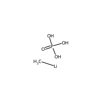 O=P(O)(O)O.[Li][CH3]